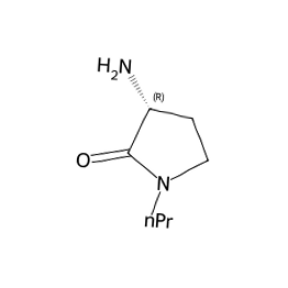 CCCN1CC[C@@H](N)C1=O